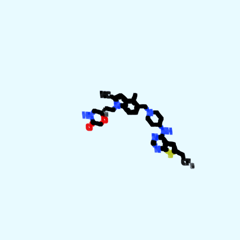 Cc1c(CN2CCC(Nc3ncnc4sc(CC(F)(F)F)cc34)CC2)ccc2c1cc(C#N)n2CC[C@H]1CNC(=O)CO1